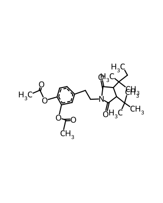 CCC(C)(C)C1C(=O)N(CCc2ccc(OC(C)=O)c(OC(C)=O)c2)C(=O)C1C(C)(C)C